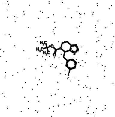 CC(C)(C)OC(=O)N1CCc2ccsc2C1Cc1cccc(I)c1